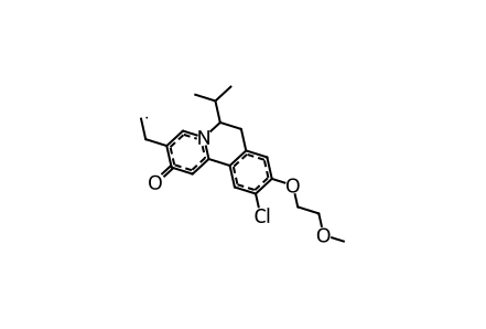 [CH2]Cc1cn2c(cc1=O)-c1cc(Cl)c(OCCOC)cc1CC2C(C)C